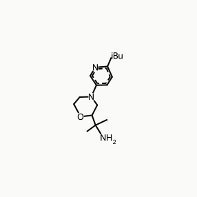 CCC(C)c1ccc(N2CCOC(C(C)(C)N)C2)cn1